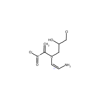 C=C(N(/C=C\N)CC(O)CCl)[N+](=O)[O-]